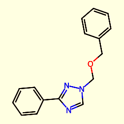 c1ccc(COCn2cnc(-c3ccccc3)n2)cc1